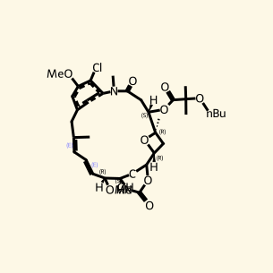 CCCCOC(C)(C)C(=O)O[C@H]1CC(=O)N(C)c2cc(cc(OC)c2Cl)C/C(C)=C/C=C/[C@@H](OC)[C@@]2(O)CC(OC(=O)N2)[C@H]2C[C@@]1(C)O2